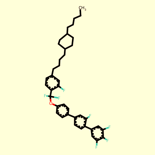 CCCCCC1CCC(CCCCc2ccc(C(F)(F)Oc3ccc(-c4ccc(-c5cc(F)c(F)c(F)c5)c(F)c4)cc3)c(F)c2)CC1